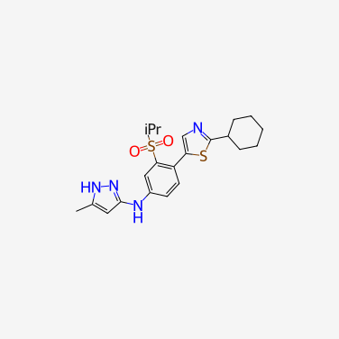 Cc1cc(Nc2ccc(-c3cnc(C4CCCCC4)s3)c(S(=O)(=O)C(C)C)c2)n[nH]1